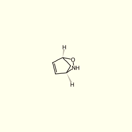 C1=C[C@H]2C[C@@H]1ON2